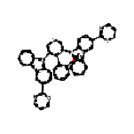 N#Cc1ccccc1-c1c(-n2c3ccccc3c3cc(-c4ncccn4)ccc32)cncc1-n1c2ccccc2c2cc(-c3ncccn3)ccc21